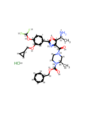 C[C@H](N)c1oc(-c2ccc(OC(F)F)c(OCC3CC3)c2)nc1C(=O)N1CCN(C(=O)OCc2ccccc2)[C@H](C)C1.Cl